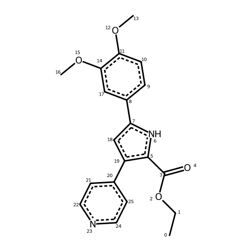 CCOC(=O)c1[nH]c(-c2ccc(OC)c(OC)c2)cc1-c1ccncc1